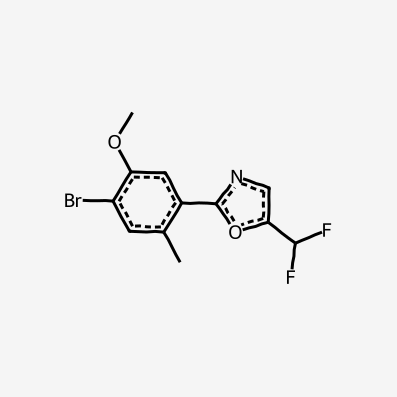 COc1cc(-c2ncc(C(F)F)o2)c(C)cc1Br